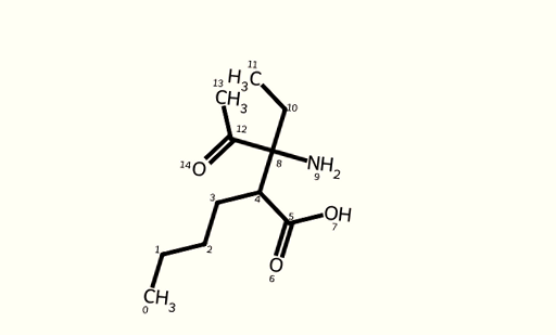 CCCCC(C(=O)O)C(N)(CC)C(C)=O